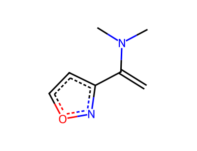 C=C(c1ccon1)N(C)C